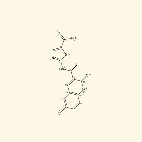 C[C@H](Nc1ncc(C(N)=O)s1)c1cc2cc(Cl)ccc2[nH]c1=O